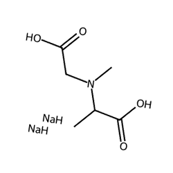 CC(C(=O)O)N(C)CC(=O)O.[NaH].[NaH]